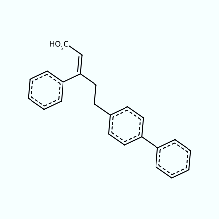 O=C(O)C=C(CCc1ccc(-c2ccccc2)cc1)c1ccccc1